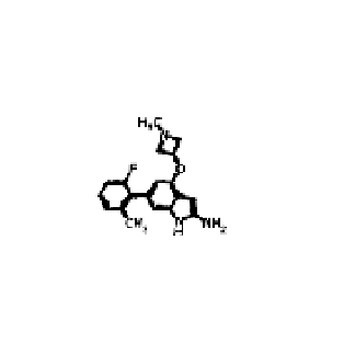 Cc1cccc(F)c1-c1cc(OC2CN(C)C2)c2cc(N)[nH]c2c1